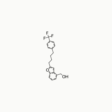 OCc1cccc2oc(CCCCc3ccc(C(F)(F)F)cc3)cc12